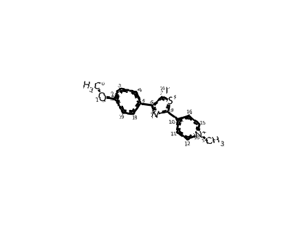 COc1ccc(-c2csc(-c3cc[n+](C)cc3)n2)cc1.[I-]